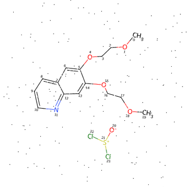 COCCOc1cc2cccnc2cc1OCCOC.[O-][S+](Cl)Cl